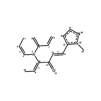 C=CC(=C)N(/C=C\C)/C(=C\C)C(=O)/C=C/c1ccnn1C